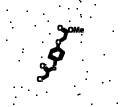 COC(=O)COc1ccc(SC(=O)CCl)cc1